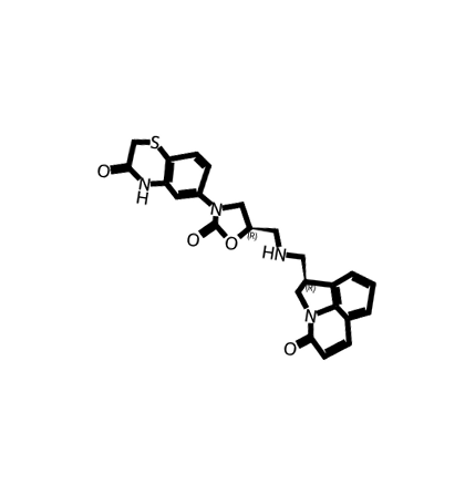 O=C1CSc2ccc(N3C[C@@H](CNC[C@@H]4Cn5c(=O)ccc6cccc4c65)OC3=O)cc2N1